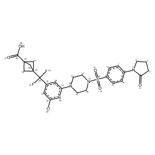 O=C1CCCN1c1ccc(S(=O)(=O)N2CCN(c3cc(C(F)(F)C45CC(C(=O)O)(C4)C5)cc(Cl)n3)CC2)cc1